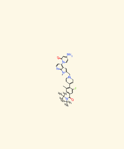 [2H]C([2H])([2H])N(C(=O)c1cc(C)c(C2=CCN(Cc3cc4c(-n5ccc(N)cc5=O)ccnc4n3C)CC2)c(F)c1)C([2H])([2H])[2H]